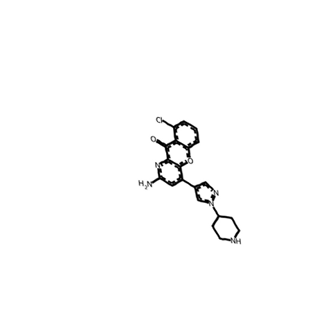 Nc1cc(-c2cnn(C3CCNCC3)c2)c2oc3cccc(Cl)c3c(=O)c2n1